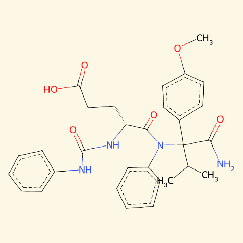 COc1ccc(C(C(N)=O)(C(C)C)N(C(=O)[C@@H](CCC(=O)O)NC(=O)Nc2ccccc2)c2ccccc2)cc1